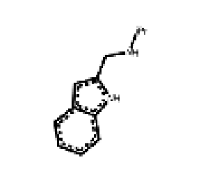 CC(C)NCc1cc2ccccc2[nH]1